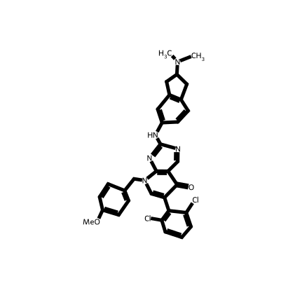 COc1ccc(Cn2cc(-c3c(Cl)cccc3Cl)c(=O)c3cnc(Nc4ccc5c(c4)CC(N(C)C)C5)nc32)cc1